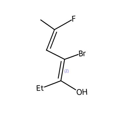 CC/C(O)=C(/Br)C=C(C)F